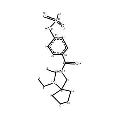 CCN(CC)C1(CNC(=O)c2ccc(NS(C)(=O)=O)cc2)CCCC1